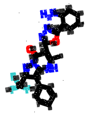 Cc1[nH]c2c(-c3ccccc3)c(C(F)(F)F)nn2c(=O)c1-c1nnc(C2CCCCC2N)o1